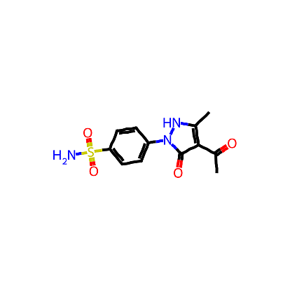 CC(=O)c1c(C)[nH]n(-c2ccc(S(N)(=O)=O)cc2)c1=O